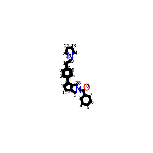 O=C(C1CCCCC1)N1CC2CC=C(c3ccc(CCN4CCCC4)cc3)C2C1